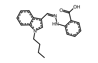 CCCCn1cc(/C=N\Nc2ccccc2C(=O)O)c2ccccc21